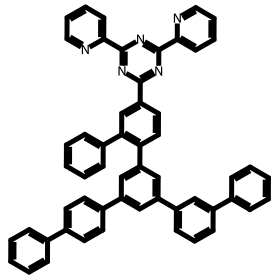 c1ccc(-c2ccc(-c3cc(-c4cccc(-c5ccccc5)c4)cc(-c4ccc(-c5nc(-c6ccccn6)nc(-c6ccccn6)n5)cc4-c4ccccc4)c3)cc2)cc1